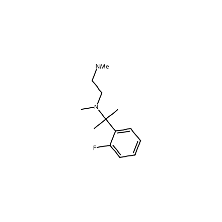 CNCCN(C)C(C)(C)c1ccccc1F